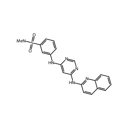 CNS(=O)(=O)c1cccc(Nc2cc(Nc3ccc4ccccc4n3)ncn2)c1